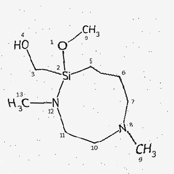 CO[Si]1(CO)CCCN(C)CCN1C